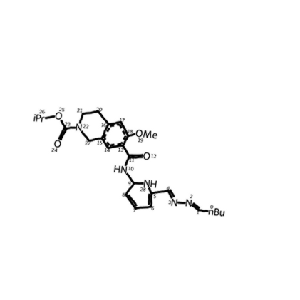 CCCC/C=N/N=C/C1=CC=CC(NC(=O)c2cc3c(cc2OC)CCN(C(=O)OC(C)C)C3)N1